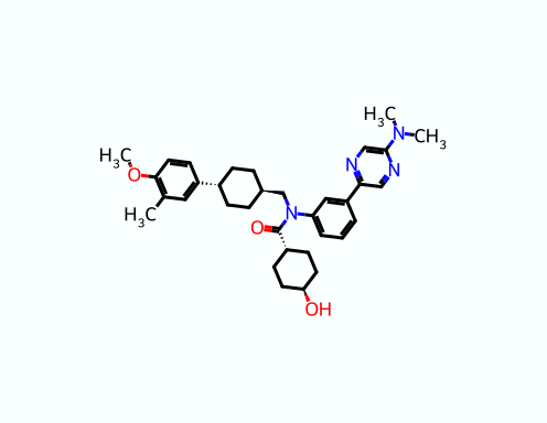 COc1ccc([C@H]2CC[C@H](CN(c3cccc(-c4cnc(N(C)C)cn4)c3)C(=O)[C@H]3CC[C@H](O)CC3)CC2)cc1C